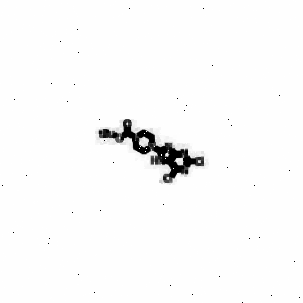 CC(C)(C)OC(=O)N1CCN(c2nc3nc(Cl)nc(Cl)c3[nH]2)CC1